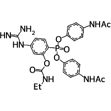 CCNC(=O)Oc1cc(NC(=N)N)ccc1P(=O)(Oc1ccc(NC(C)=O)cc1)Oc1ccc(NC(C)=O)cc1